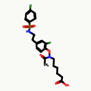 CC(=O)N(CCCCCC(=O)O)Oc1ccc(CCNS(=O)(=O)c2ccc(Cl)cc2)cc1F